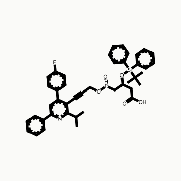 CC(C)c1nc(-c2ccccc2)cc(-c2ccc(F)cc2)c1C#CCO[PH](=O)CC(CC(=O)O)O[Si](c1ccccc1)(c1ccccc1)C(C)(C)C